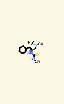 CN(C)C[C@H](CC1CCCCC1)NC(=S)NC#N